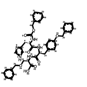 O=C(N[C@@H](Cc1c[nH]cn1)C(=O)N[C@@H](Cc1ccc(OCc2ccccc2)cc1)C(=O)N[C@H](COCc1ccccc1)C(=O)O)OCc1ccccc1